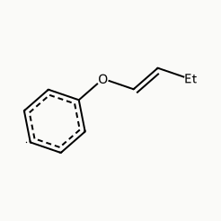 CCC=COc1cc[c]cc1